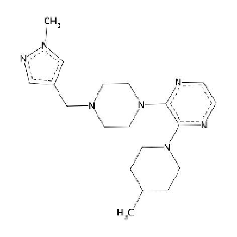 CC1CCN(c2nccnc2N2CCN(Cc3cnn(C)c3)CC2)CC1